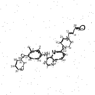 Cc1cc(Nc2ncnc3ccc(N4CCN(C=CC=O)CC4)nc23)ccc1O[C@@H]1CCCOC1